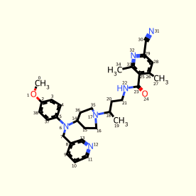 COc1ccc(N(Cc2cccnc2)C2CCN(C(C)CCNC(=O)c3c(C)cc(C#N)nc3C)CC2)cc1